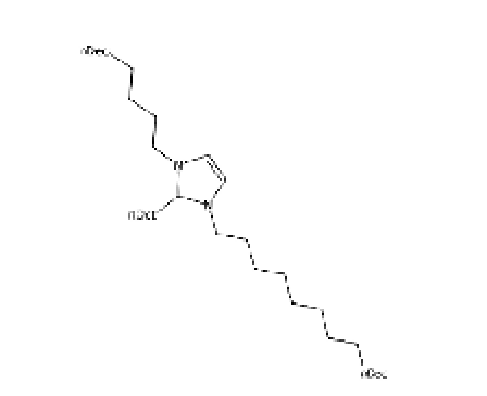 CCCCCCCCCCCCCCCCCCN1C=CN(CCCCCCCCCCCCCC)C1CCCCCCCC